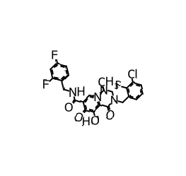 CN1CN(Cc2cccc(Cl)c2F)C(=O)c2c(O)c(=O)c(C(=O)NCc3ccc(F)cc3F)cn21